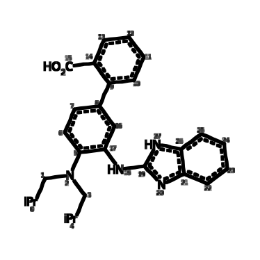 CC(C)CN(CC(C)C)c1ccc(-c2ccccc2C(=O)O)cc1Nc1nc2ccccc2[nH]1